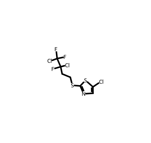 FC(F)(Cl)C(F)(Cl)CCSc1ncc(Cl)s1